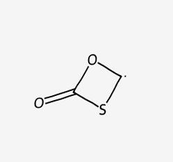 O=C1O[CH]S1